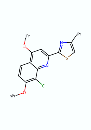 CCCOc1ccc2c(OC(C)C)cc(-c3nc(C(C)C)cs3)nc2c1Cl